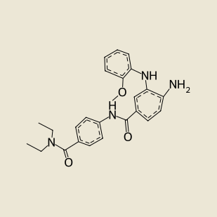 CCN(CC)C(=O)c1ccc(NC(=O)c2ccc(N)c(Nc3ccccc3OC)c2)cc1